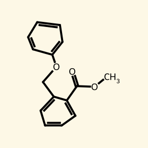 COC(=O)c1ccccc1COc1ccccc1